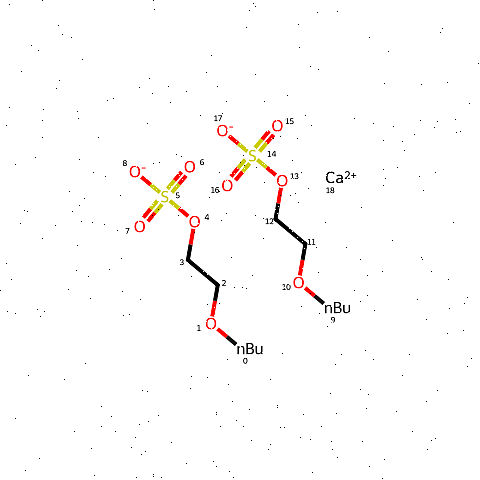 CCCCOCCOS(=O)(=O)[O-].CCCCOCCOS(=O)(=O)[O-].[Ca+2]